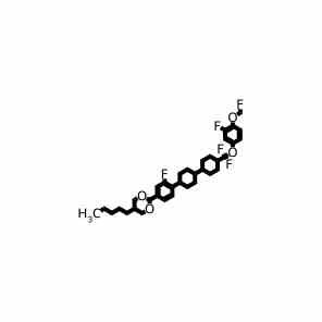 CCCCCC1COC(c2ccc(C3CCC(C4CCC(C(F)(F)Oc5ccc(OCF)c(F)c5)CC4)CC3)c(F)c2)OC1